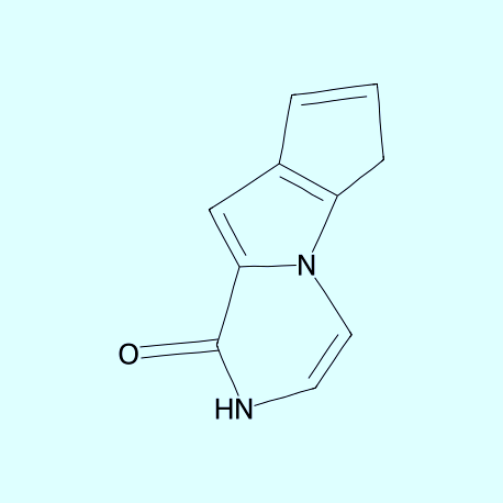 O=c1[nH]ccn2c3c(cc12)C=CC3